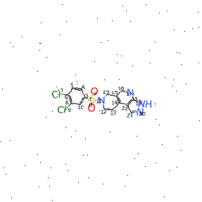 O=S(=O)(c1ccc(Cl)c(Cl)c1)N1CCc2c(cnc3[nH]ncc23)C1